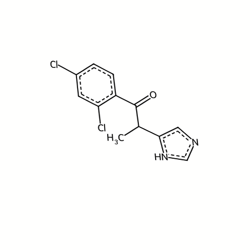 CC(C(=O)c1ccc(Cl)cc1Cl)c1cnc[nH]1